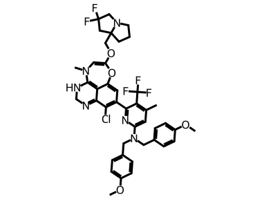 COc1ccc(CN(Cc2ccc(OC)cc2)c2cc(C)c(C(F)(F)F)c(-c3cc4c5c(c3Cl)=NCNC=5N(C)C=C(OCC35CCCN3CC(F)(F)C5)O4)n2)cc1